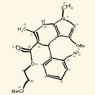 CCCCc1nn(C)c2c1C(c1ccccc1[N+](=O)[O-])C(C(=O)OCCOC)=C(C)N2